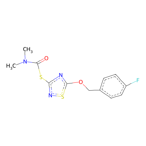 CN(C)C(=O)Sc1nsc(OCc2ccc(F)cc2)n1